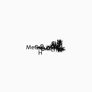 COCCNC(=O)OCCc1ccc(-c2cc(Cl)c3cn(C(C(=O)Nc4nccs4)c4ncn5c4C[C@@H](F)C5)nc3c2Cl)cc1